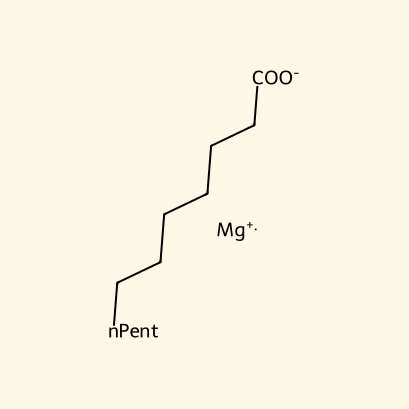 CCCCCCCCCCCC(=O)[O-].[Mg+]